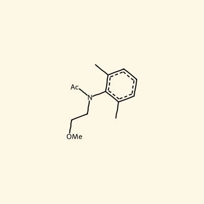 COCCN(C(C)=O)c1c(C)cccc1C